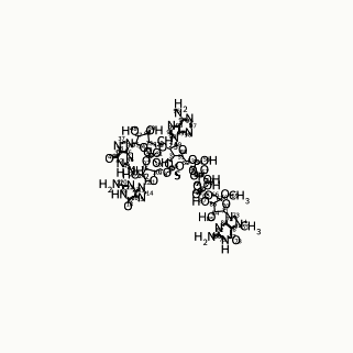 COC1C(OP([O-])(=S)OCC2OC(n3cnc4c(=O)[nH]c(N)nc43)C(O)C2OP(=O)(O)OCC2OC(n3cnc4c(=O)[nH]c(N)nc43)C(O)C2O)C(COP(=O)(O)OP(=O)(O)OP(=O)(O)OCC2(OC)OC(n3c[n+](C)c4c(=O)[nH]c(N)nc43)C(O)C2O)OC1n1cnc2c(N)ncnc21